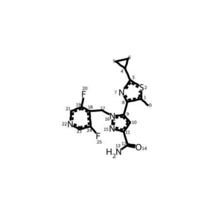 Cc1sc(C2CC2)nc1-c1cc(C(N)=O)nn1Cc1c(F)cncc1F